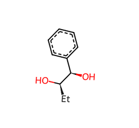 [CH2]C[C@@H](O)[C@H](O)c1ccccc1